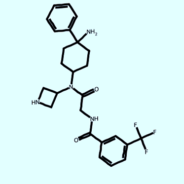 NC1(c2ccccc2)CCC(N(C(=O)CNC(=O)c2cccc(C(F)(F)F)c2)C2CNC2)CC1